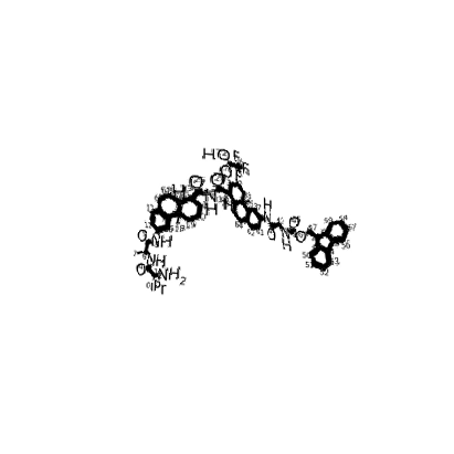 CC(C)[C@H](N)C(=O)N[C@@H](C)C(=O)Nc1ccc2c(c1)[C@@]1(C)CCC[C@](C)(C(=O)NC(=O)[C@@]3(C)CCC[C@]4(C)c5cc(NC(=O)CNC(=O)OCC6c7ccccc7-c7ccccc76)ccc5CC[C@@H]34)[C@@H]1CC2.O=C(O)C(F)(F)F